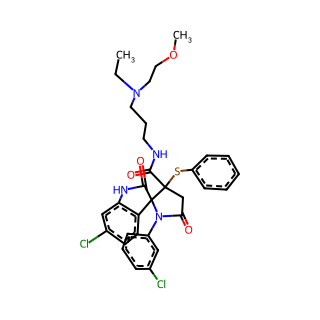 CCN(CCCNC(=O)C1(Sc2ccccc2)CC(=O)N(c2cccc(Cl)c2)C12C(=O)Nc1cc(Cl)ccc12)CCOC